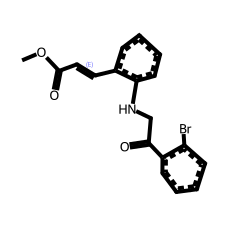 COC(=O)/C=C/c1ccccc1NCC(=O)c1ccccc1Br